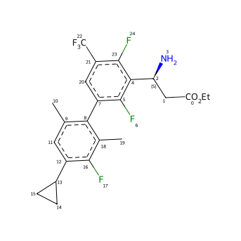 CCOC(=O)C[C@H](N)c1c(F)c(-c2c(C)cc(C3CC3)c(F)c2C)cc(C(F)(F)F)c1F